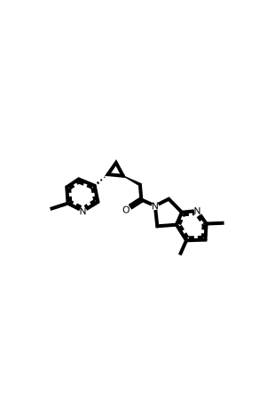 Cc1ccc([C@@H]2C[C@H]2CC(=O)N2Cc3nc(C)cc(C)c3C2)cn1